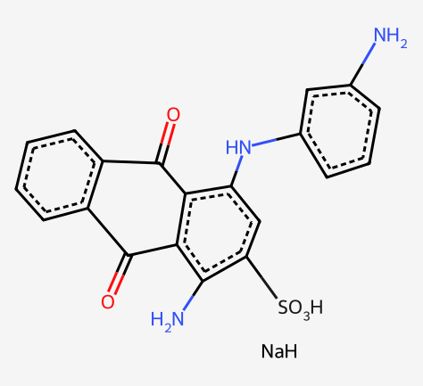 Nc1cccc(Nc2cc(S(=O)(=O)O)c(N)c3c2C(=O)c2ccccc2C3=O)c1.[NaH]